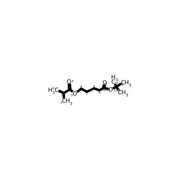 CC(C)C(=O)OCCCCC(=O)OC(C)(C)C